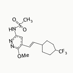 COc1nnc(NS(C)(=O)=O)cc1C=CC1CCC(C(F)(F)F)CC1